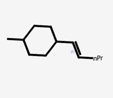 CCC/C=C/C1CCC(C)CC1